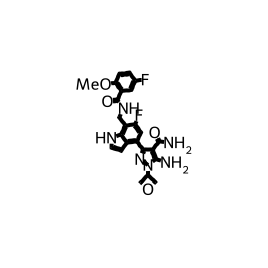 COc1ccc(F)cc1C(=O)NCc1c(F)cc(-c2nn(C3COC3)c(N)c2C(N)=O)c2cc[nH]c12